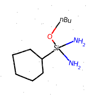 CCCCO[Si](N)(N)C1CCCCC1